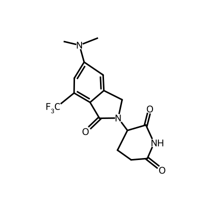 CN(C)c1cc2c(c(C(F)(F)F)c1)C(=O)N(C1CCC(=O)NC1=O)C2